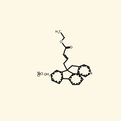 CCOC(=O)C=CCC1(Cc2ccncc2)c2ccccc2-c2ccccc21.Cl.Cl.O